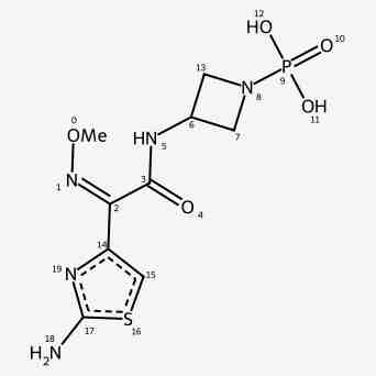 CON=C(C(=O)NC1CN(P(=O)(O)O)C1)c1csc(N)n1